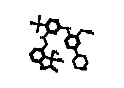 COc1cc(C2CCNCC2)ccc1Nc1ncc(C(F)(F)F)c(NCc2cccc3c2C(C)(C)C(=O)N3)n1